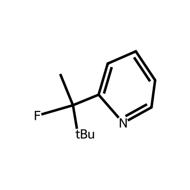 CC(C)(C)C(C)(F)c1ccccn1